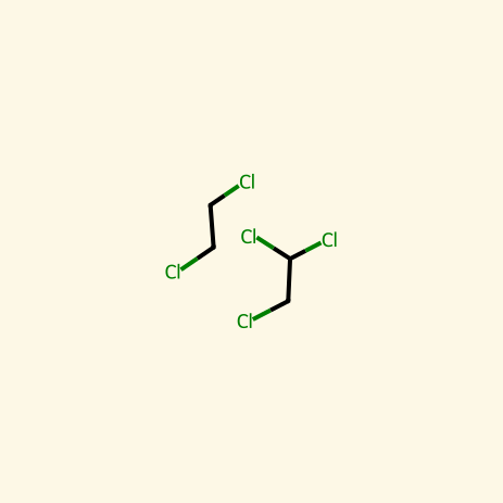 ClCC(Cl)Cl.ClCCCl